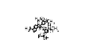 COc1ccc(C(Nc2ccc3c(N)nccc3c2)C(=O)NCc2cccc(NC(C)=O)c2)cc1OC.O=C(O)C(F)(F)F